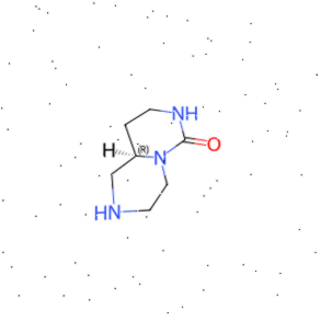 O=C1NCC[C@@H]2CNCCN12